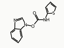 O=C(Nc1cccs1)On1cnc2ccccc21